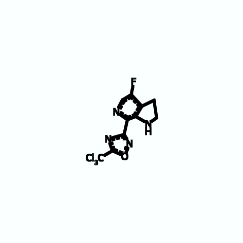 Fc1cnc(-c2noc(C(Cl)(Cl)Cl)n2)c2c1CCN2